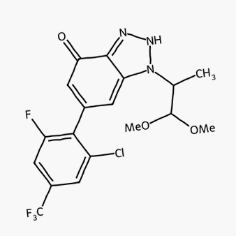 COC(OC)C(C)n1[nH]nc2c(=O)cc(-c3c(F)cc(C(F)(F)F)cc3Cl)cc1-2